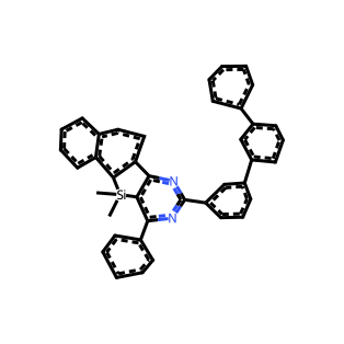 C[Si]1(C)c2c(-c3ccccc3)nc(-c3cccc(-c4cccc(-c5ccccc5)c4)c3)nc2-c2ccc3ccccc3c21